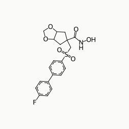 O=C(NO)C1(CS(=O)(=O)c2ccc(-c3ccc(F)cc3)cc2)CC2OCOC2C1